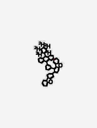 [2H]c1c([2H])c([2H])c(-c2c3ccccc3c(-c3cccc(-c4c(-c5ccc6c(c5)oc5ccccc56)ccc5oc6ccccc6c45)c3)c3ccccc23)c([2H])c1[2H]